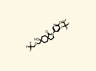 C[C@H](Oc1ccc(N2CCC3(CCC(O)(COCC(F)(F)F)CC3)C2=O)cn1)C(F)(F)F